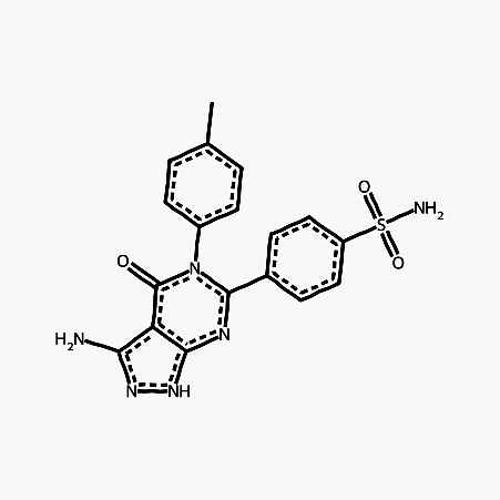 Cc1ccc(-n2c(-c3ccc(S(N)(=O)=O)cc3)nc3[nH]nc(N)c3c2=O)cc1